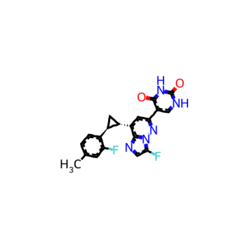 Cc1ccc([C@H]2C[C@@H]2c2cc(-c3c[nH]c(=O)[nH]c3=O)nn3c(F)cnc23)c(F)c1